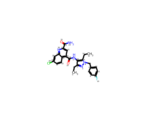 CCc1nn(Cc2ccc(F)cc2)c(CC)c1NC(=O)c1cc(C(N)=O)nc2cc(Cl)ccc12